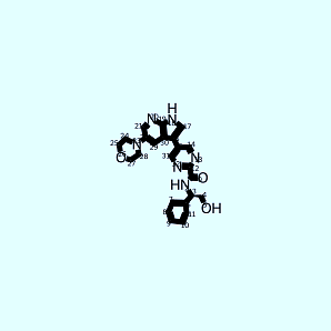 O=C(N[C@@H](CO)c1ccccc1)c1ncc(-c2c[nH]c3ncc(N4CCOCC4)cc23)cn1